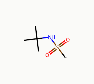 [CH2]S(=O)(=O)NC(C)(C)C